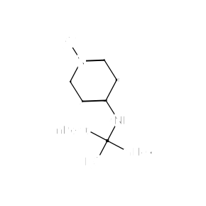 CCCCCCC(C)(CCCCC)NC1CCN(C)CC1